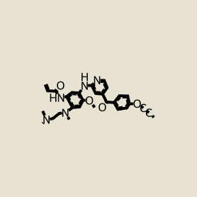 C=CC(=O)Nc1cc(Nc2cc(C(=O)c3ccc(OCCC)cc3)ccn2)c(OC)cc1N(C)CCN(C)C